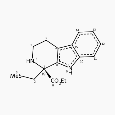 CCOC(=O)[C@@]1(CSC)NCCc2c1[nH]c1ccccc21